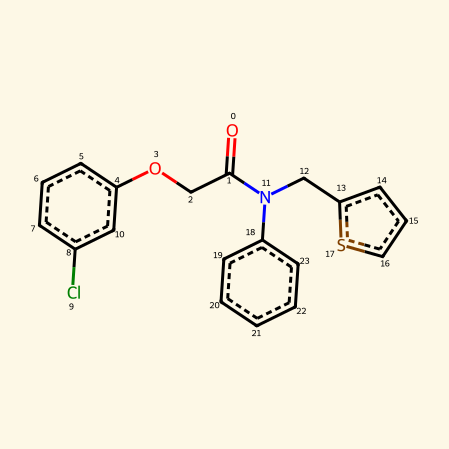 O=C(COc1cccc(Cl)c1)N(Cc1cccs1)c1ccccc1